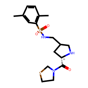 Cc1ccc(C)c(S(=O)(=O)NCC2CN[C@H](C(=O)N3CCSC3)C2)c1